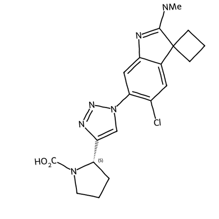 CNC1=Nc2cc(-n3cc([C@@H]4CCCN4C(=O)O)nn3)c(Cl)cc2C12CCC2